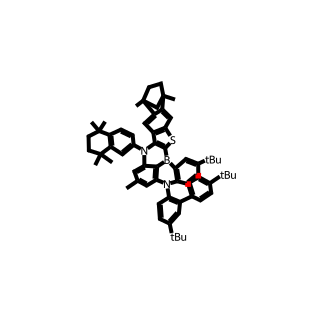 Cc1cc2c3c(c1)N(c1ccc4c(c1)C(C)(C)CCC4(C)C)c1c(sc4cc5c(cc14)C1(C)CCC5(C)C1)B3c1cc(C(C)(C)C)ccc1N2c1ccc(C(C)(C)C)cc1-c1ccc(C(C)(C)C)cc1